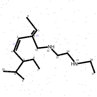 C/C=C(\C=C/C(CC)C(C)C)CNCCNCC